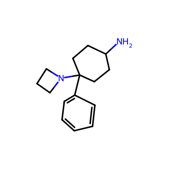 NC1CCC(c2ccccc2)(N2CCC2)CC1